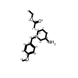 CCOC(=O)C[C@@H]1CCC(N)CN1Cc1ccc(OC)cc1